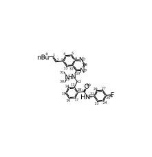 CCCCC=Cc1ccc2ncnc(N(Cc3ccccc3C(=O)Nc3ccc(F)cc3)N(C)C)c2c1